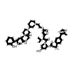 Cc1ncsc1-c1ccc([C@H](C)NC(=O)[C@@H]2C[C@@H](O)CN2C(=O)[C@@H](c2cc(OCCN3CCC[C@H](N4CCN5c6cc(-c7ccccc7O)nnc6NC[C@@H]5C4)C3)no2)C(C)C)cc1